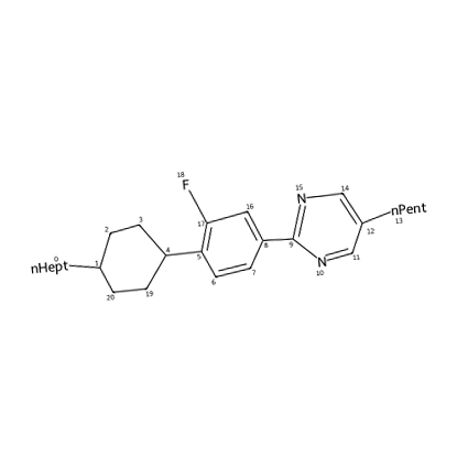 CCCCCCCC1CCC(c2ccc(-c3ncc(CCCCC)cn3)cc2F)CC1